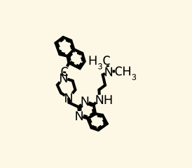 CN(C)CCCNc1nc(CN2CCN(Cc3cccc4ccccc34)CC2)nc2ccccc12